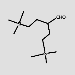 C[Si](C)(C)CCC([C]=O)CC[Si](C)(C)C